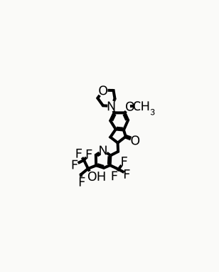 COc1cc2c(cc1N1CCOCC1)CC(Cc1ncc(C(O)(CF)C(F)(F)F)cc1C(F)(F)F)C2=O